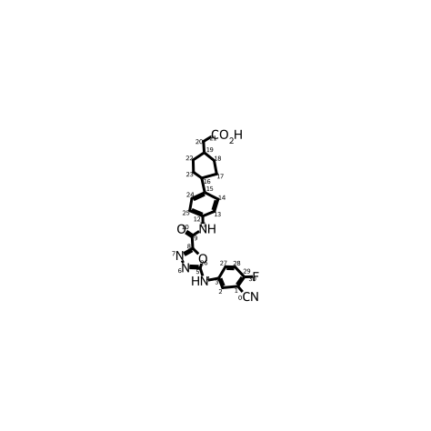 N#Cc1cc(Nc2nnc(C(=O)Nc3ccc(C4CCC(CC(=O)O)CC4)cc3)o2)ccc1F